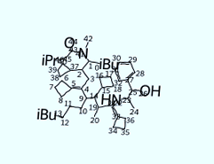 CCC(C)C(C(CC(=C1CCC1)C(CCC[C@H](C)CC)C(C1CCC1)C(C)C(NC(C)C(O)c1ccccc1)=C1CCC1)C1CCC1)N(C)C(=O)CC(C)C